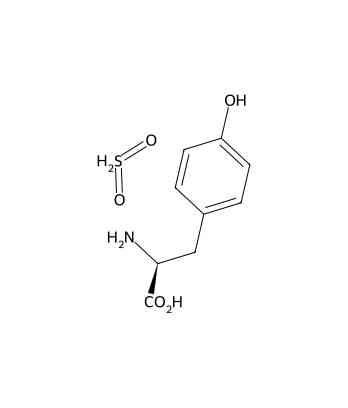 N[C@@H](Cc1ccc(O)cc1)C(=O)O.O=[SH2]=O